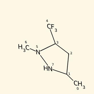 CC1CC(C(F)(F)F)N(C)N1